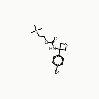 C[Si](C)(C)CCOC(=O)NC1(c2ccc(Br)cc2)CSC1